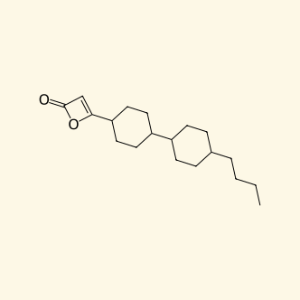 CCCCC1CCC(C2CCC(C3=CC(=O)O3)CC2)CC1